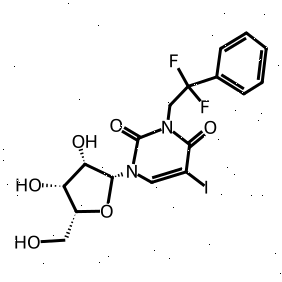 O=c1c(I)cn([C@@H]2O[C@H](CO)[C@H](O)[C@@H]2O)c(=O)n1CC(F)(F)c1ccccc1